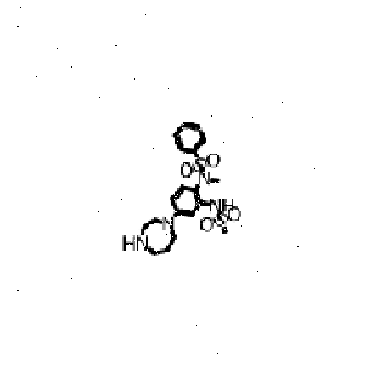 CN(c1ccc(N2CCCNCC2)cc1NS(C)(=O)=O)S(=O)(=O)c1ccccc1